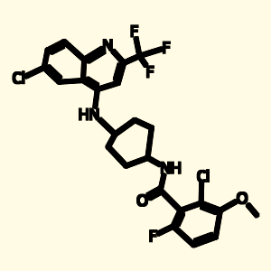 COc1ccc(F)c(C(=O)NC2CCC(Nc3cc(C(F)(F)F)nc4ccc(Cl)cc34)CC2)c1Cl